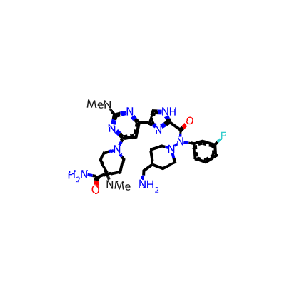 CNc1nc(-c2c[nH]c(C(=O)N(c3cccc(F)c3)N3CCC(CN)CC3)n2)cc(N2CCC(NC)(C(N)=O)CC2)n1